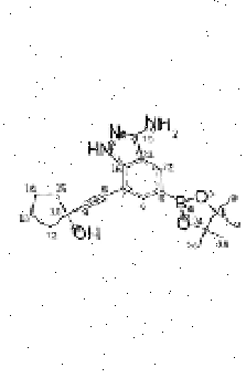 CC1(C)OB(c2cc(C#CC3(O)CCCC3)c3[nH]nc(N)c3c2)OC1(C)C